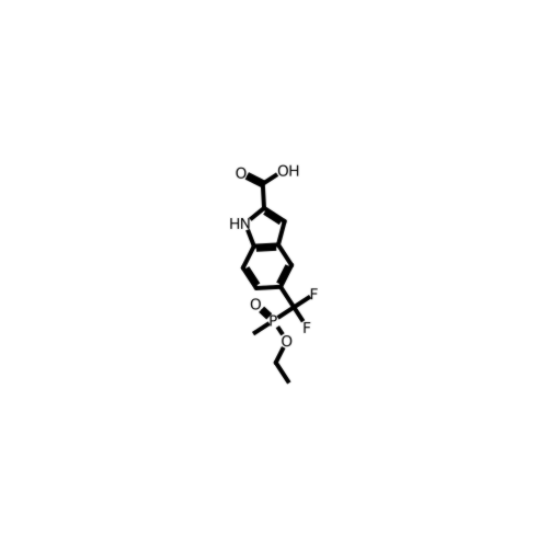 CCOP(C)(=O)C(F)(F)c1ccc2[nH]c(C(=O)O)cc2c1